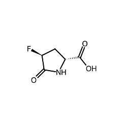 O=C1N[C@@H](C(=O)O)C[C@@H]1F